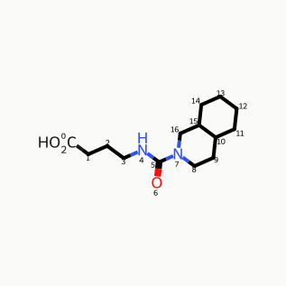 O=C(O)CCCNC(=O)N1CCC2CCCCC2C1